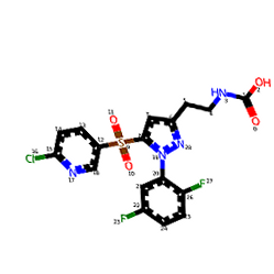 O=C(O)NCCc1cc(S(=O)(=O)c2ccc(Cl)nc2)n(-c2cc(F)ccc2F)n1